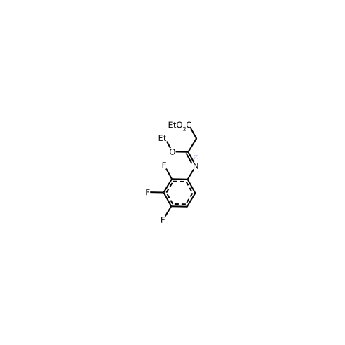 CCOC(=O)C/C(=N/c1ccc(F)c(F)c1F)OCC